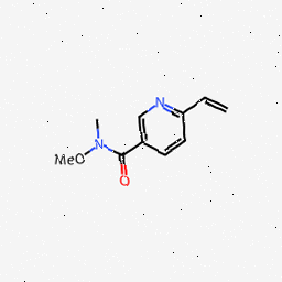 C=Cc1ccc(C(=O)N(C)OC)cn1